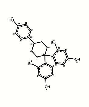 CCC(C)c1cc(O)ccc1C1(c2ccc(O)cc2C(C)CC)CCC(c2ccc(O)cc2)CC1